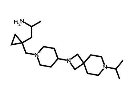 CC(N)CC1(CN2CCC(N3CC4(CCN(C(C)C)CC4)C3)CC2)CC1